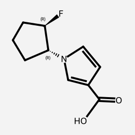 O=C(O)c1ccn([C@@H]2CCC[C@H]2F)c1